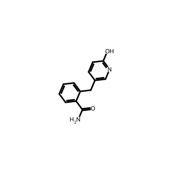 NC(=O)c1ccccc1Cc1ccc(O)nc1